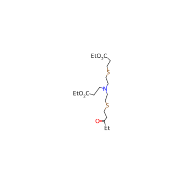 CCOC(=O)CCSCCN(CCSCCC(=O)CC)CCC(=O)OCC